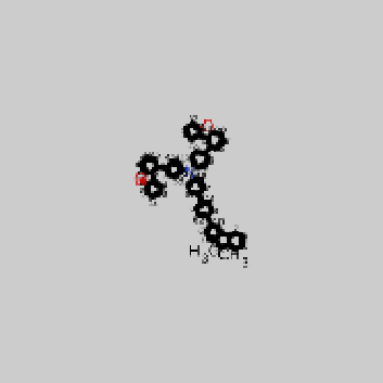 CC1(C)c2ccccc2-c2cc(-c3ccc(-c4ccc(N(c5ccc(-c6cccc7oc8ccccc8c67)cc5)c5ccc(-c6cccc7oc8ccccc8c67)cc5)cc4)cc3)ccc21